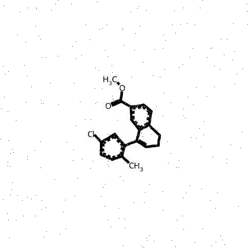 COC(=O)c1ccc2c(c1)C(c1cc(Cl)ccc1C)=CCC2